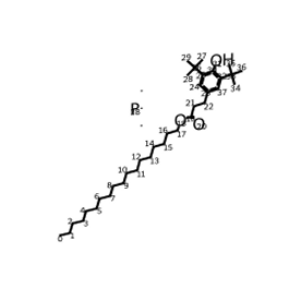 CCCCCCCCCCCCCCCCCCOC(=O)CCc1cc(C(C)(C)C)c(O)c(C(C)(C)C)c1.[P]